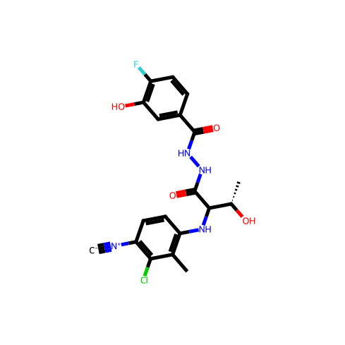 [C-]#[N+]c1ccc(NC(C(=O)NNC(=O)c2ccc(F)c(O)c2)[C@H](C)O)c(C)c1Cl